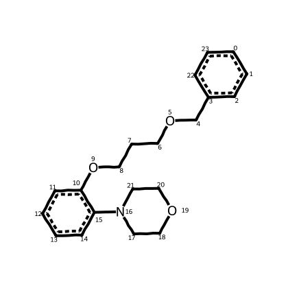 c1ccc(COCCCOc2ccccc2N2CCOCC2)cc1